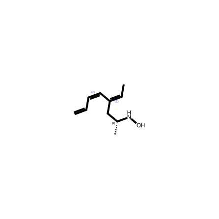 C=C/C=C\C(=C/C)C[C@@H](C)NO